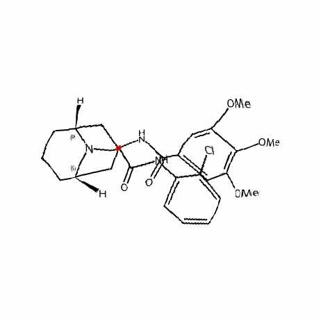 COc1cc(C(=O)NC2C[C@H]3CCC[C@@H](C2)N3CC(=O)Nc2ccccc2Cl)cc(OC)c1OC